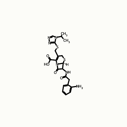 CC(C)n1cnnc1SCC1=C(C(=O)O)N2C(=O)C(NC(=O)Cc3ccccc3N)[C@@H]2SC1